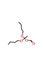 CCCCOC(C)(OC=O)OCCCC